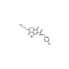 CSCCCN1CCn2c(c(Br)cc(C(=O)NCc3ccc(Cl)cc3)c2=O)C1=O